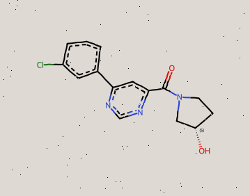 O=C(c1cc(-c2cccc(Cl)c2)ncn1)N1CC[C@H](O)C1